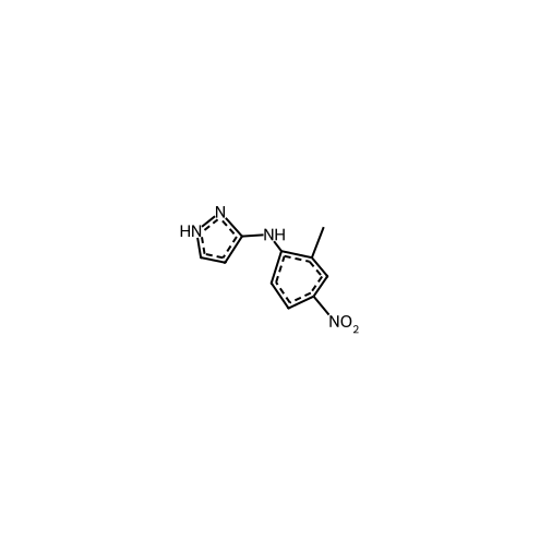 Cc1cc([N+](=O)[O-])ccc1Nc1cc[nH]n1